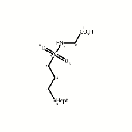 CCCCCCCCCCS(=O)(=O)NCC(=O)O